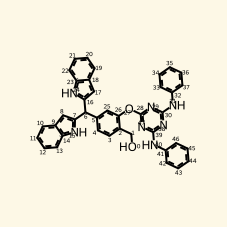 OCc1ccc(C(c2cc3ccccc3[nH]2)c2cc3ccccc3[nH]2)cc1Oc1nc(Nc2ccccc2)nc(Nc2ccccc2)n1